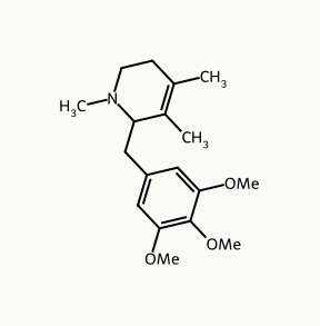 COc1cc(CC2C(C)=C(C)CCN2C)cc(OC)c1OC